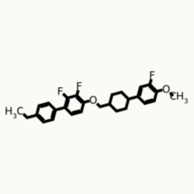 CCc1ccc(-c2ccc(OCC3CCC(c4ccc(OC)c(F)c4)CC3)c(F)c2F)cc1